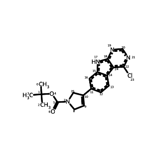 CC(C)(C)OC(=O)N1CC=C(c2ccc3c(c2)[nH]c2ncnc(Cl)c23)C1